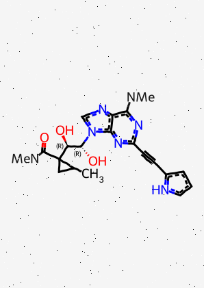 CNC(=O)C1([C@@H](O)[C@@H](O)n2cnc3c(NC)nc(C#Cc4ccc[nH]4)nc32)CC1C